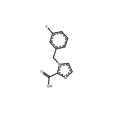 O=C(O)c1nccn1Cc1cccc(F)c1